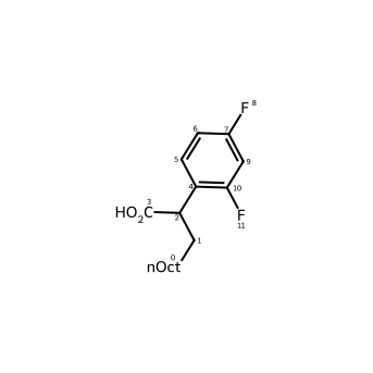 CCCCCCCCCC(C(=O)O)c1ccc(F)cc1F